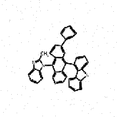 Cc1nc2ccccc2n1-c1c2ccccc2c(-c2cccc3sc4ccccc4c23)c2cc(-c3ccccc3)ccc12